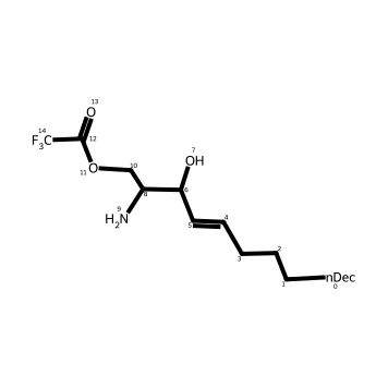 CCCCCCCCCCCCCC=CC(O)C(N)COC(=O)C(F)(F)F